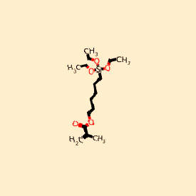 C=C(C)C(=O)OCCCCCC[Si](OCC)(OCC)OCC